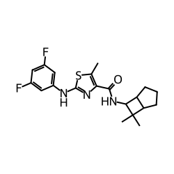 Cc1sc(Nc2cc(F)cc(F)c2)nc1C(=O)NC1C2CCCC2C1(C)C